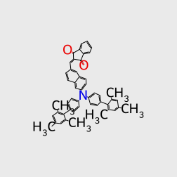 Cc1cc(C)c(-c2ccc(N(c3ccc(-c4c(C)cc(C)cc4C)cc3)c3ccc4cc(C=C5C(=O)c6ccccc6C5=O)ccc4c3)cc2)c(C)c1